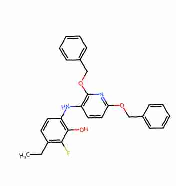 CCc1ccc(Nc2ccc(OCc3ccccc3)nc2OCc2ccccc2)c(O)c1F